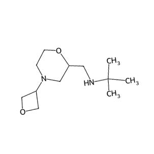 CC(C)(C)NCC1CN(C2COC2)CCO1